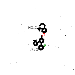 COc1ccc(F)c(-c2ccc(COc3ccc4c(c3)[C@]3(CCCC4)C[C@@H]3C(=O)O)cc2C2=CCCC2(C)C)c1